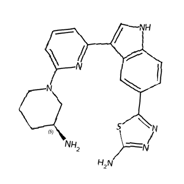 Nc1nnc(-c2ccc3[nH]cc(-c4cccc(N5CCC[C@H](N)C5)n4)c3c2)s1